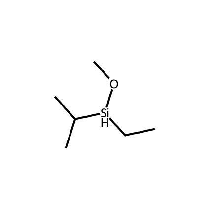 CC[SiH](OC)C(C)C